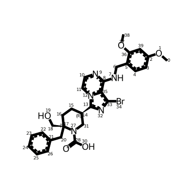 COc1ccc(CNc2nccn3c([C@@H]4CC[C@@](CO)(Cc5ccccc5)N(C(=O)O)C4)nc(Br)c23)c(OC)c1